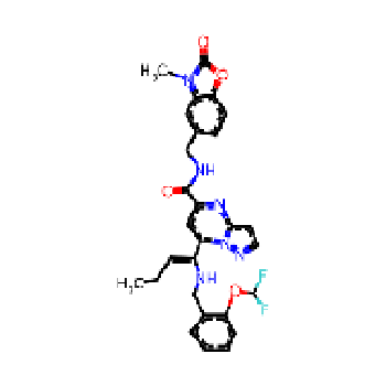 CC/C=C(\NCc1ccccc1OC(F)F)c1cc(C(=O)NCc2ccc3oc(=O)n(C)c3c2)nc2ccnn12